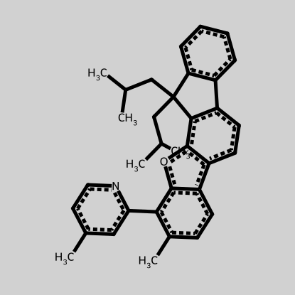 Cc1ccnc(-c2c(C)ccc3c2oc2c4c(ccc23)-c2ccccc2C4(CC(C)C)CC(C)C)c1